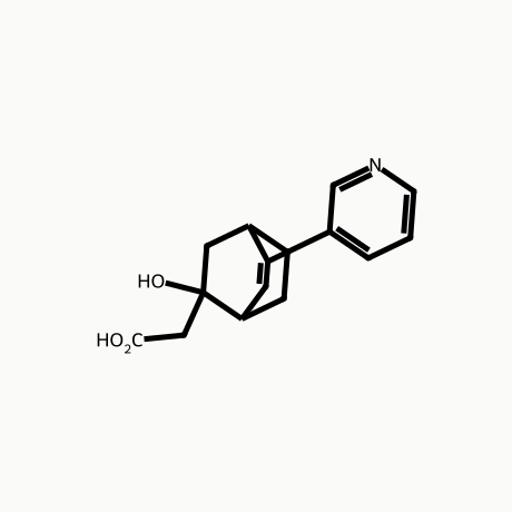 O=C(O)CC1(O)CC2CCC1C=C2c1cccnc1